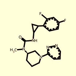 CN(C(=O)NC1CC1c1ccc(F)cc1F)[C@@H]1CCCN(c2cccnn2)C1